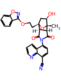 C[C@@]12O[C@@](CCOc3noc4ccccc34)(C[C@H]1O)[C@@H]1C(=O)N(c3ccc(C#N)c4ncccc34)C(=O)[C@@H]12